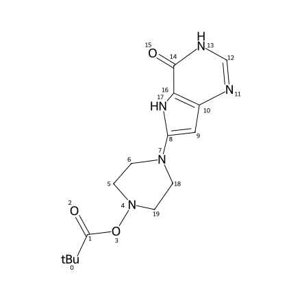 CC(C)(C)C(=O)ON1CCN(c2cc3nc[nH]c(=O)c3[nH]2)CC1